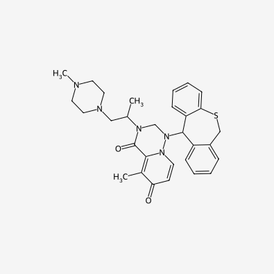 Cc1c2n(ccc1=O)N(C1c3ccccc3CSc3ccccc31)CN(C(C)CN1CCN(C)CC1)C2=O